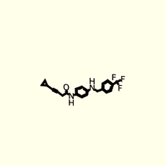 O=C(CC#CC1CC1)Nc1ccc(NCc2ccc(C(F)(F)F)cc2)cc1